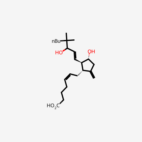 C=C1C[C@@H](O)[C@H](/C=C/C(O)C(C)(C)CCCC)[C@H]1C/C=C\CCCC(=O)O